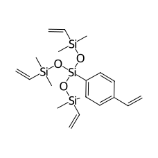 C=Cc1ccc([Si](O[Si](C)(C)C=C)(O[Si](C)(C)C=C)O[Si](C)(C)C=C)cc1